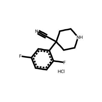 Cl.N#CC1(c2cc(F)ccc2F)CCNCC1